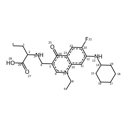 CCC(NCc1cn(CC)c2cc(NC3CCCCC3)c(F)cc2c1=O)C(=O)O